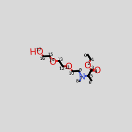 CCOC(=O)C(C)N(C)CCOCCOCCO